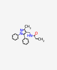 C=CC(=O)NCc1c(C)nn(-c2ccccc2)c1-c1ccccc1